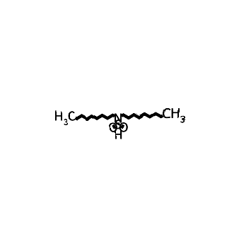 CCCCCCCCCN(CCCCCCCCC)[SH](=O)=O